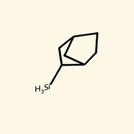 [SiH3]C1CC2CCC1C2